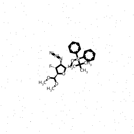 COC(OC)[C@@H]1O[C@@H](CO[Si](c2ccccc2)(c2ccccc2)C(C)(C)C)[C@H](N=[N+]=[N-])[C@H]1F